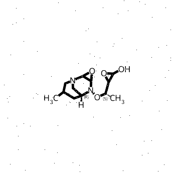 CC1C[C@@H]2CN(C1)C1OC1N2O[C@@H](C)C1OC1O